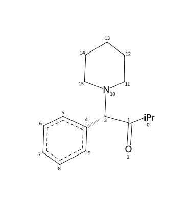 CC(C)C(=O)[C@H](c1ccccc1)N1CCCCC1